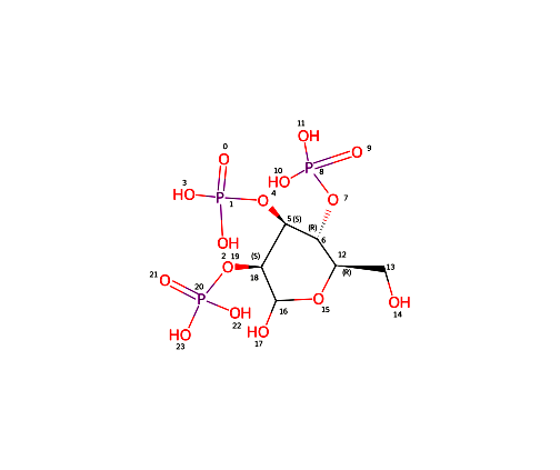 O=P(O)(O)O[C@H]1[C@H](OP(=O)(O)O)[C@@H](CO)OC(O)[C@H]1OP(=O)(O)O